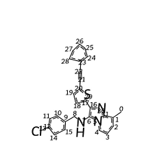 Cc1cccn2c(NCc3ccc(Cl)cc3)c(-c3ccc(C#Cc4ccccc4)s3)nc12